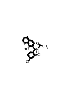 CC(=O)NC(c1ccc(Cl)cc1Cl)c1ccc2cccnc2c1O